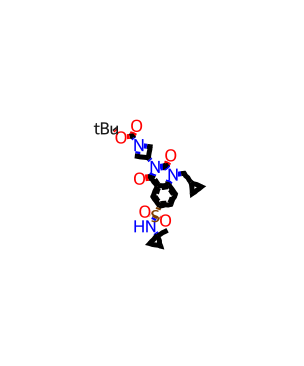 CC1(NS(=O)(=O)c2ccc3c(c2)c(=O)n(C2CN(C(=O)OC(C)(C)C)C2)c(=O)n3CC2CC2)CC1